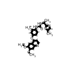 COc1cc2nccc(Oc3ccc(NC(=O)NC(C)c4ncc(C)s4)c(C)c3)c2cc1OC